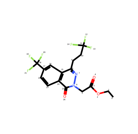 CCOC(=O)Cn1nc(CCC(F)(F)F)c2cc(C(F)(F)F)ccc2c1=O